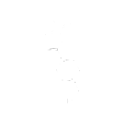 CC(C)CN1CCN(C(=O)CS(C)(=O)=O)CC1